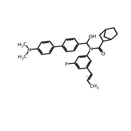 C/C=C/c1cc(F)cc(N(C(=O)C2CC3CCC2C3)C(O)c2ccc(-c3ccc(N(C)C)cc3)cc2)c1